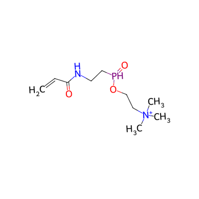 C=CC(=O)NCC[PH](=O)OCC[N+](C)(C)C